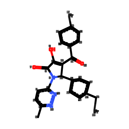 Cc1ccc(N2C(=O)C(O)=C(C(=O)c3ccc(C(C)C)cc3)C2c2ccc(CC(C)C)cc2)nn1